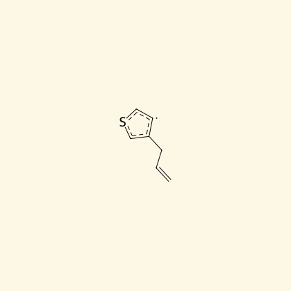 C=CCc1[c]csc1